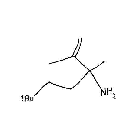 C=C(C)C(C)(N)CCC(C)(C)C